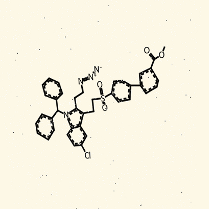 COC(=O)c1cccc(-c2ccc(S(=O)(=O)CCc3c(CCN=[N+]=[N-])n(C(c4ccccc4)c4ccccc4)c4ccc(Cl)cc34)cc2)c1